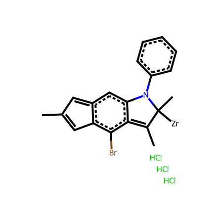 CC1=Cc2c(Br)c3c(cc2=C1)N(c1ccccc1)[C](C)([Zr])C=3C.Cl.Cl.Cl